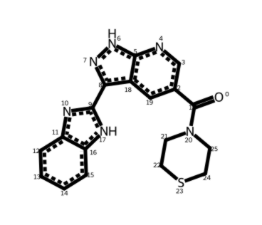 O=C(c1cnc2[nH]nc(-c3nc4ccccc4[nH]3)c2c1)N1CCSCC1